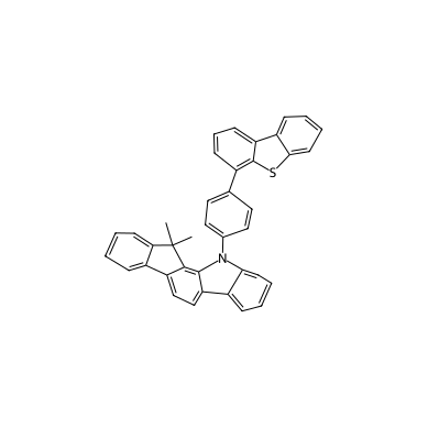 CC1(C)c2ccccc2-c2ccc3c4ccccc4n(-c4ccc(-c5cccc6c5sc5ccccc56)cc4)c3c21